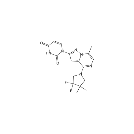 Cc1cnc(N2CC(C)(C)C(F)(F)C2)c2cc(-n3ccc(=O)[nH]c3=O)nn12